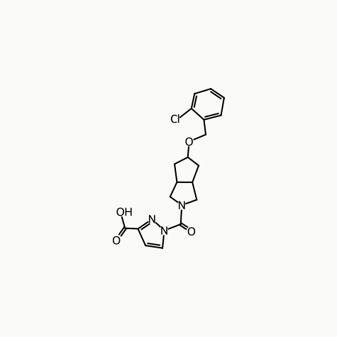 O=C(O)c1ccn(C(=O)N2CC3CC(OCc4ccccc4Cl)CC3C2)n1